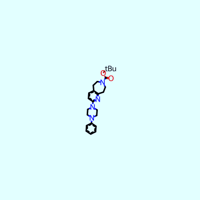 CC(C)(C)OC(=O)N1CCc2ccc(N3CCN(c4ccccc4)CC3)nc2CC1